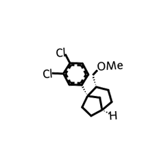 COC[C@@H]1CC[C@H]2CC[C@]1(c1ccc(Cl)c(Cl)c1)C2